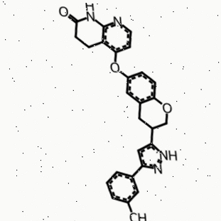 Cc1cccc(-c2cc(C3COc4ccc(Oc5ccnc6c5CCC(=O)N6)cc4C3)[nH]n2)c1